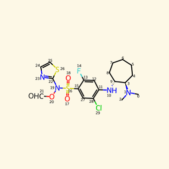 CN(C)[C@@H]1CCCCC[C@H]1Nc1cc(F)c(S(=O)(=O)N(OC=O)c2nccs2)cc1Cl